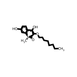 CCCCCCCCOc1c(O)c2ccc(O)cc2n(C)c1=O